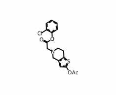 CC(=O)Oc1cc2c(s1)CCN(CC(=O)Oc1ccccc1Cl)C2